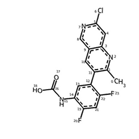 Cc1nc2cc(Cl)ncc2cc1-c1cc(NC(=O)O)c(F)cc1F